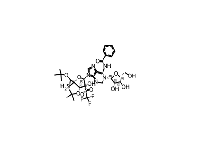 CC(C)(C)OC1[SiH2][C@@]12O[C@@H](n1cnc3c1=NCN([C@@H]1O[C@H](CO)[C@@H](O)[C@@H]1O)C=3NC(=O)c1ccccc1)[C@@](O)(S(=O)(=O)C(F)(F)F)[C@@H]2OC(C)(C)C